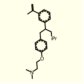 C=C(C)c1cccc(C(Cc2ccc(OCCN(C)C)cc2)CC(C)C)c1